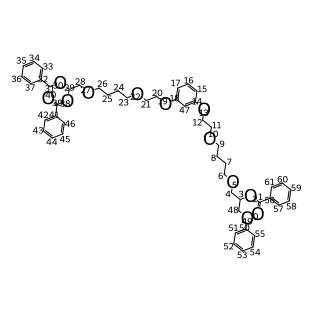 O=C(OC(COCCCCOCCOc1cccc(OCCOCCCCOCC(OCc2ccccc2)OC(=O)c2ccccc2)c1)COc1ccccc1)c1ccccc1